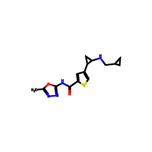 Cc1nnc(NC(=O)c2cc(C3CC3NCC3CC3)cs2)o1